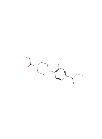 CCC(C)c1ccc(N2CCN(C(=O)CO)CC2)c(OC)c1